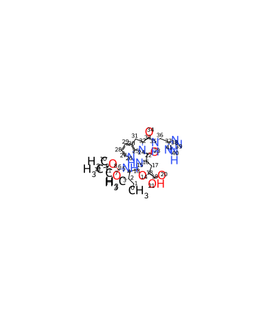 CC[C@H](C)[C@H](NC(=O)OC(C)(C)C)C(=O)NC(CCC(=O)O)C(=O)N1c2ncccc2C[C@H]1C(=O)NCc1nn[nH]n1